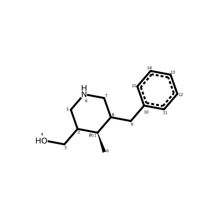 C[C@H]1C(CO)CNCC1Cc1ccccc1